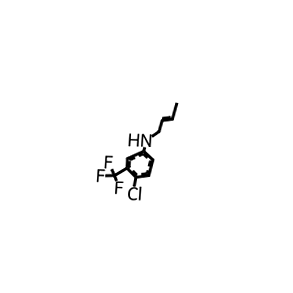 CC=CCNc1ccc(Cl)c(C(F)(F)F)c1